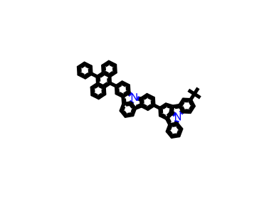 CC(C)(C)c1ccc2c(c1)c1cc(-c3ccc4c(c3)c3cccc5c6cc(-c7c8ccccc8c(-c8ccccc8)c8ccccc78)ccc6n4c35)cc3c4ccccc4n2c31